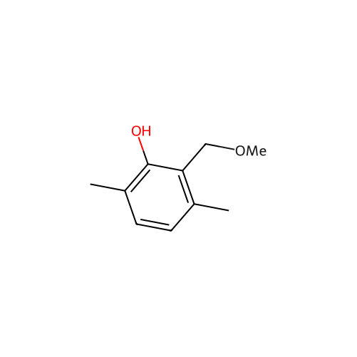 COCc1c(C)ccc(C)c1O